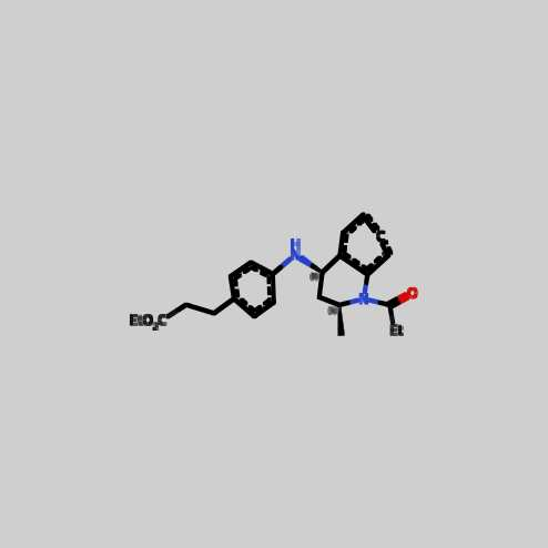 CCOC(=O)CCc1ccc(N[C@@H]2C[C@H](C)N(C(=O)CC)c3ccccc32)cc1